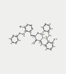 O=C1/C(=C/c2cccc(F)c2OCc2ccccc2)COC/C1=C\c1cccc(F)c1OCc1ccccc1